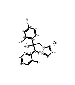 CC(c1ncncc1F)C(O)(Cn1cncn1)c1ccc(F)cc1F.[Zn]